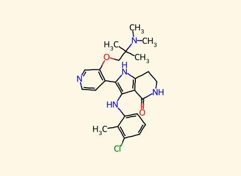 Cc1c(Cl)cccc1Nc1c(-c2ccncc2OCC(C)(C)N(C)C)[nH]c2c1C(=O)NCC2